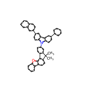 CC1(C)c2cc(-n3c4ccc(-c5ccccc5)cc4c4cc(-c5ccc6ccccc6c5)ccc43)ccc2-c2c1ccc1c2oc2ccccc21